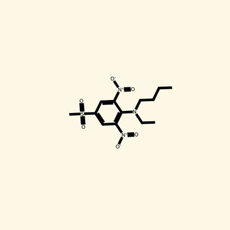 CCCCN(CC)c1c([N+](=O)[O-])cc(S(C)(=O)=O)cc1[N+](=O)[O-]